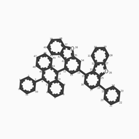 c1ccc(-c2c3ccccc3c(-c3cc(-c4ccc(-c5ccccc5)c5oc6ccccc6c45)cc4oc5ccccc5c34)c3ccccc23)cc1